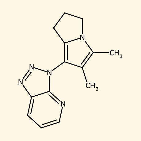 Cc1c(-n2nnc3cccnc32)c2n(c1C)CCC2